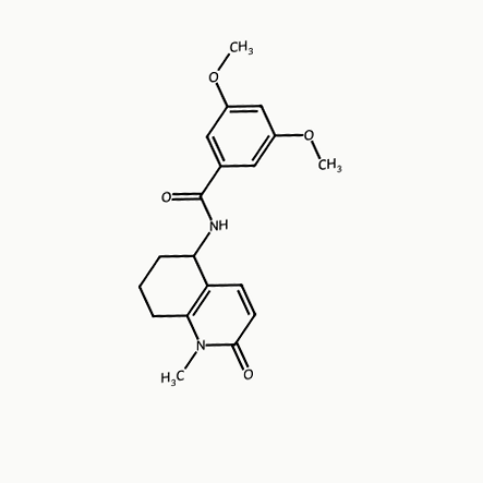 COc1cc(OC)cc(C(=O)NC2CCCc3c2ccc(=O)n3C)c1